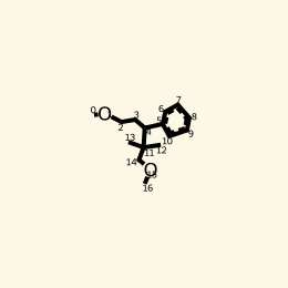 COCCC(c1ccccc1)C(C)(C)COC